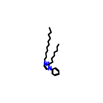 CCCCCCCCCCC[n+]1ccn(-c2ccccc2)c1CCCCCCC